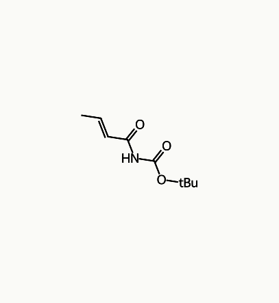 CC=CC(=O)NC(=O)OC(C)(C)C